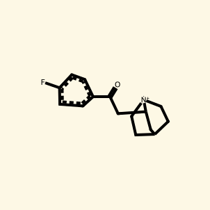 O=C(CC1CC2CC[N+]1CC2)c1ccc(F)cc1